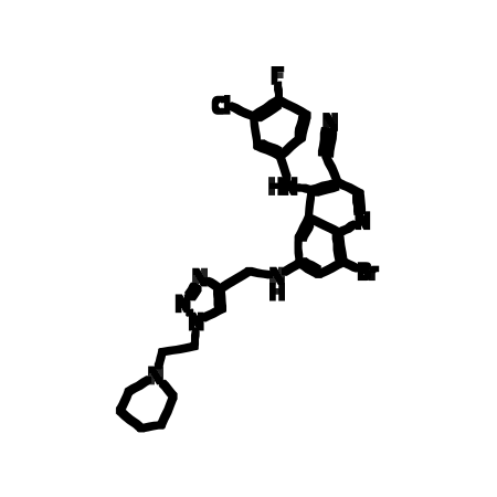 N#Cc1cnc2c(Br)cc(NCc3cn(CCN4CCCCC4)nn3)cc2c1Nc1ccc(F)c(Cl)c1